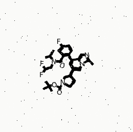 Cc1ncc2c(-c3ccc(F)cc3C(=O)N(CC(F)F)C(C)C)cc(C3CCN(C(=O)OC(C)(C)C)C3)cn12